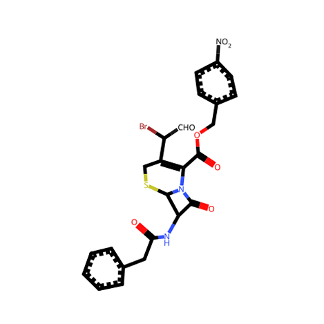 O=CC(Br)C1=C(C(=O)OCc2ccc([N+](=O)[O-])cc2)N2C(=O)C(NC(=O)Cc3ccccc3)C2SC1